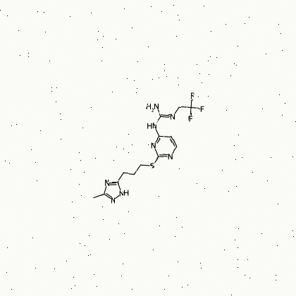 Cc1n[nH]c(CCCSc2nccc(NC(N)=NCC(F)(F)F)n2)n1